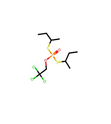 CCC(C)SP(=O)(OCC(Cl)(Cl)Cl)SC(C)CC